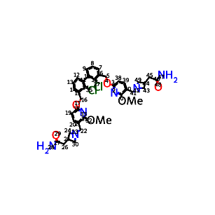 COc1nc(OCc2cccc(-c3cccc(COc4ccc(CN5CC(CC(N)=O)C5)c(OC)n4)c3Cl)c2Cl)ccc1CN1CC(CC(N)=O)C1